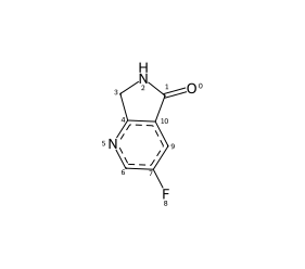 O=C1NCc2ncc(F)cc21